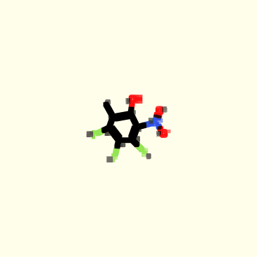 Cc1c(O)c([N+](=O)[O-])c(F)c(F)c1F